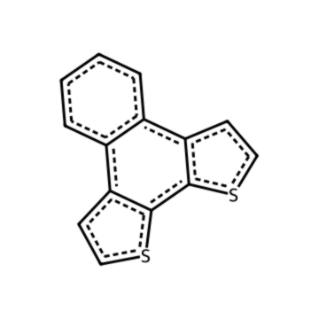 c1ccc2c(c1)c1ccsc1c1sccc21